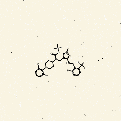 Cc1cccc(F)c1N1CCC(N(Cc2cn(C)nc2NCc2c(F)cccc2C(F)(F)F)C(=O)OC(C)(C)C)CC1